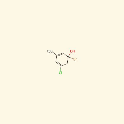 CC(C)(C)C1=CC(O)(Br)CC(Cl)=C1